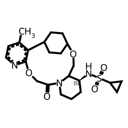 Cc1ccnc2c1C1CCC(CC1)OCC1[C@@H](NS(=O)(=O)C3CC3)CCCN1C(=O)CO2